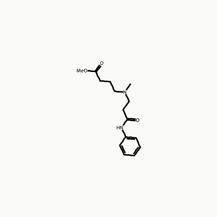 COC(=O)CCCN(C)CCC(=O)Nc1ccccc1